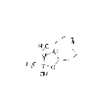 CC1(C)OC2CC/C=C/CC[C@]2(C)O1